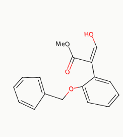 COC(=O)C(=CO)c1ccccc1OCc1ccccc1